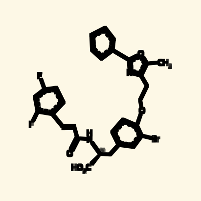 Cc1oc(-c2ccccc2)nc1CCOc1ccc(C[C@H](NC(=O)C=Cc2ccc(F)cc2F)C(=O)O)cc1Br